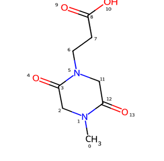 CN1CC(=O)N(CCC(=O)O)CC1=O